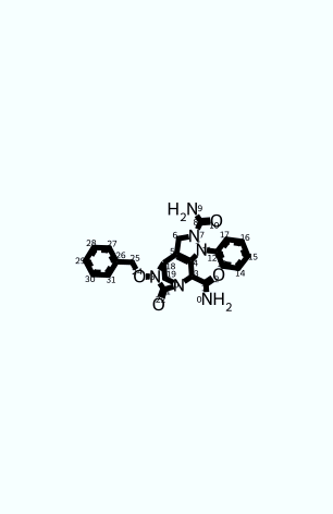 NC(=O)C1C2=C(CN(C(N)=O)N2c2ccccc2)C2CN1C(=O)N2OCc1ccccc1